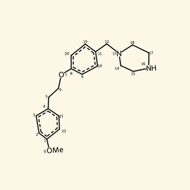 COc1ccc(CCOc2ccc(CN3CCNCC3)cc2)cc1